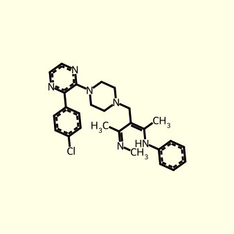 C/N=C(C)\C(CN1CCN(c2nccnc2-c2ccc(Cl)cc2)CC1)=C(\C)Nc1ccccc1